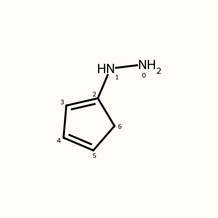 NNC1=CC=CC1